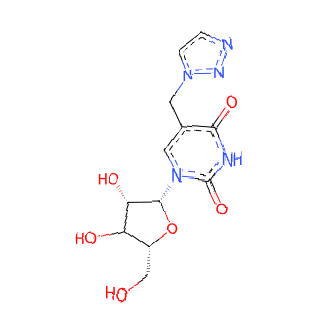 O=c1[nH]c(=O)n([C@@H]2O[C@H](CO)C(O)[C@@H]2O)cc1Cn1ccnn1